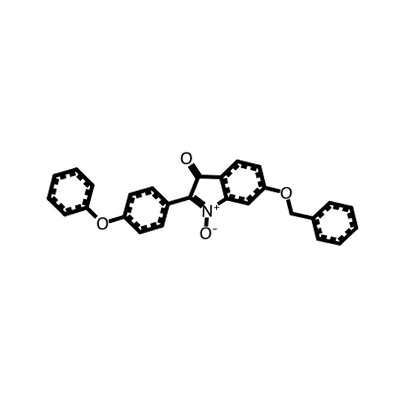 O=C1C(c2ccc(Oc3ccccc3)cc2)=[N+]([O-])c2cc(OCc3ccccc3)ccc21